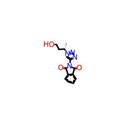 C[C@@H](CCO)n1cc(N2C(=O)c3ccccc3C2=O)nn1